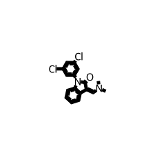 CN(C)/C=C1\C(=O)N(c2cc(Cl)cc(Cl)c2)c2ccccc21